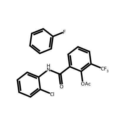 CC(=O)Oc1c(C(=O)Nc2ccccc2Cl)cccc1C(F)(F)F.Fc1ccccc1